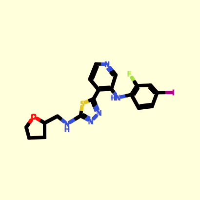 Fc1cc(I)ccc1Nc1cnccc1-c1nnc(NCC2CCCO2)s1